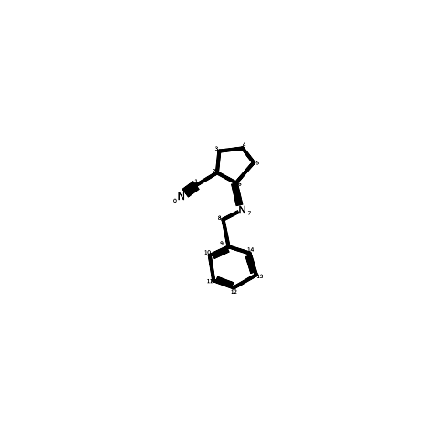 N#CC1CCC/C1=N/Cc1ccccc1